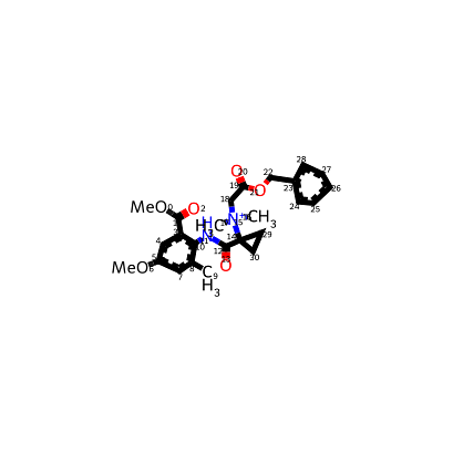 COC(=O)c1cc(OC)cc(C)c1NC(=O)C1([N+](C)(C)CC(=O)OCc2ccccc2)CC1